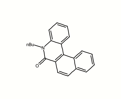 CCCCn1c(=O)c2ccc3ccccc3c2c2ccccc21